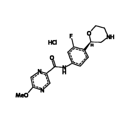 COc1cnc(C(=O)Nc2ccc([C@@H]3CNCCO3)c(F)c2)cn1.Cl